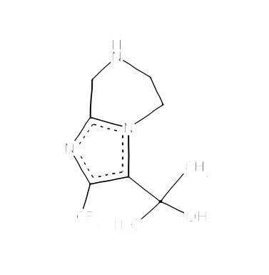 [CH2]C(C)(O)c1c(C(F)(F)F)nc2n1CCNC2